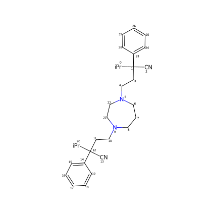 CC(C)C(C#N)(CCN1CCCN(CCC(C#N)(c2ccccc2)C(C)C)CC1)c1ccccc1